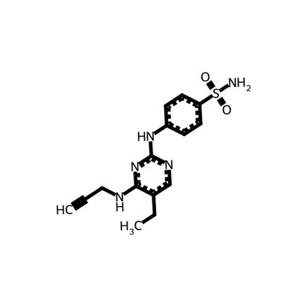 C#CCNc1nc(Nc2ccc(S(N)(=O)=O)cc2)ncc1CC